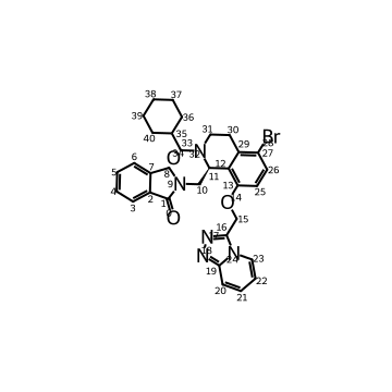 O=C1c2ccccc2CN1C[C@@H]1c2c(OCc3nnc4ccccn34)ccc(Br)c2CCN1C(=O)C1CCCCC1